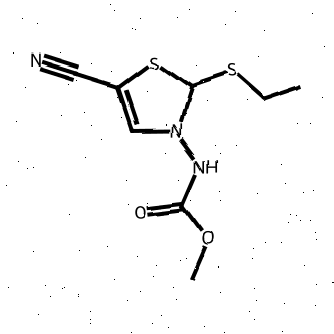 CCSC1SC(C#N)=CN1NC(=O)OC